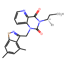 CC[C@@H](CC(=O)O)n1c(=O)c2ncccc2n(Cc2nsc3cc(C)cc(C)c23)c1=O